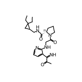 CCC1(CC)CC1CNC(=O)[C@@H]1CCCN1C(=O)CNc1ncccc1C(=N)C(C)=O